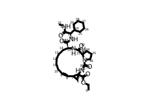 CCOC(=O)C12CC1/C=C\CCCCC[C@@H](C(=O)N[C@H](C(=O)NC)C1CCCCC1)NC(=O)[C@H]1CCCN1C(=O)N2